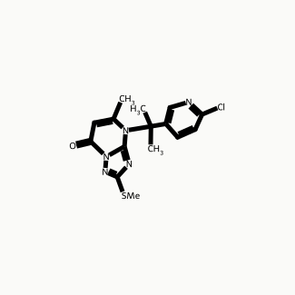 CSc1nc2n(C(C)(C)c3ccc(Cl)nc3)c(C)cc(=O)n2n1